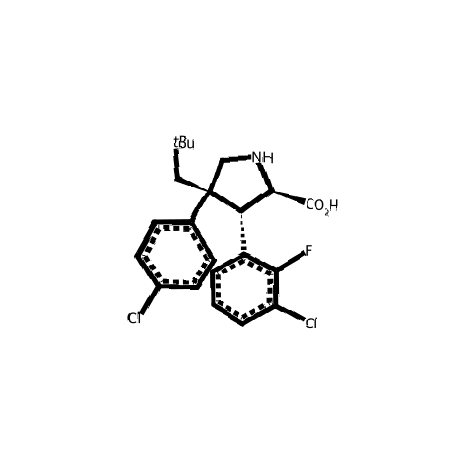 CC(C)(C)C[C@@]1(c2ccc(Cl)cc2)CN[C@@H](C(=O)O)[C@@H]1c1cccc(Cl)c1F